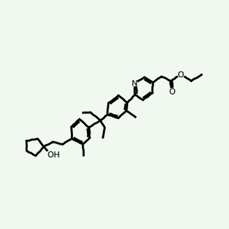 CCOC(=O)Cc1ccc(-c2ccc(C(CC)(CC)c3ccc(CCC4(O)CCCC4)c(C)c3)cc2C)nc1